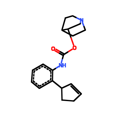 O=C(Nc1ccccc1C1C=CCC1)OC1CN2CCC1CC2